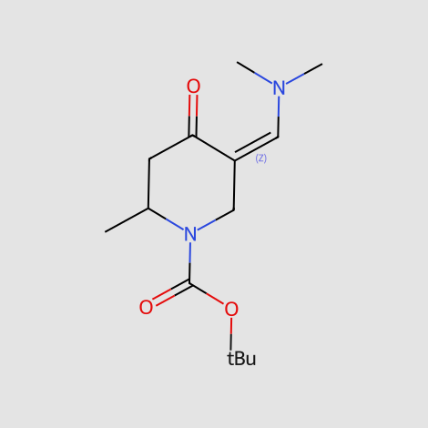 CC1CC(=O)/C(=C\N(C)C)CN1C(=O)OC(C)(C)C